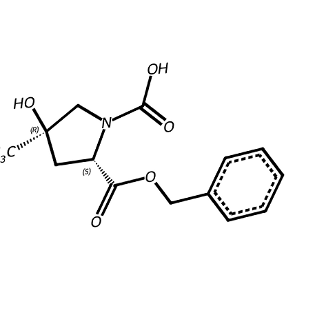 C[C@@]1(O)C[C@@H](C(=O)OCc2ccccc2)N(C(=O)O)C1